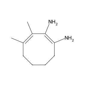 CC1=C(C)C(N)=C(N)CCCC1